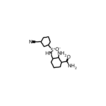 N#CC1CCCC([S+]([O-])NC2CCCC(C(N)=O)C2N)C1